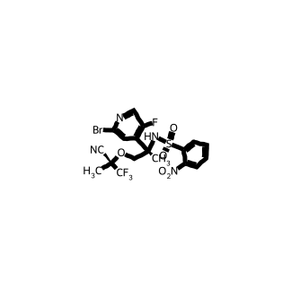 C[C@](CO[C@](C)(C#N)C(F)(F)F)(NS(=O)(=O)c1ccccc1[N+](=O)[O-])c1cc(Br)ncc1F